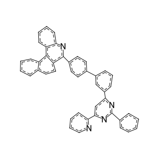 c1ccc(-c2nc(-c3cccc(-c4ccc(-c5nc6ccccc6c6c5ccc5ccccc56)cc4)c3)cc(-c3ccccn3)n2)cc1